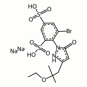 CCOC(C)(C)Cc1cc(=O)n(-c2c(Br)cc(S(=O)(=O)O)cc2S(=O)(=O)O)[nH]1.[Na].[Na]